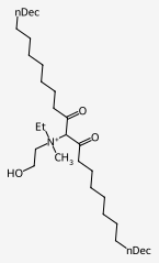 CCCCCCCCCCCCCCCCCC(=O)C(C(=O)CCCCCCCCCCCCCCCCC)[N+](C)(CC)CCO